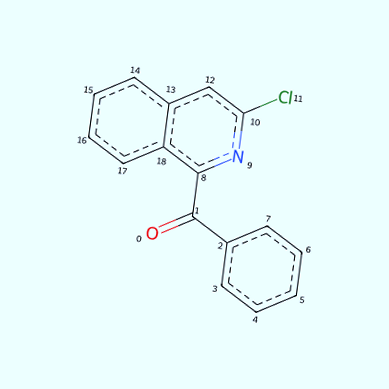 O=C(c1ccccc1)c1nc(Cl)cc2ccccc12